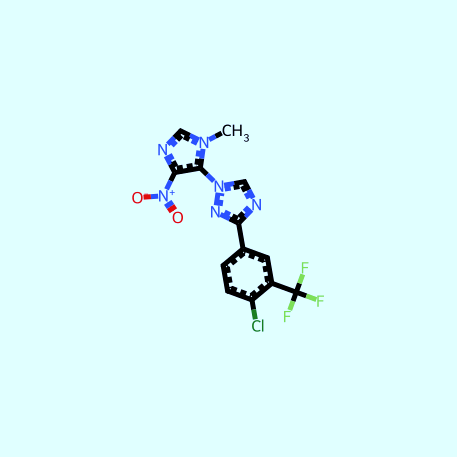 Cn1cnc([N+](=O)[O-])c1-n1cnc(-c2ccc(Cl)c(C(F)(F)F)c2)n1